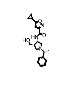 C[C@H](c1ccccc1)N1C[C@@H](CO)[C@H](NC(=O)c2cc(C3CC3)on2)C1